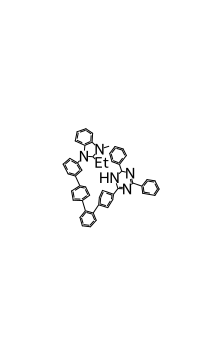 CCC1N(C)c2ccccc2N1c1cccc(-c2ccc(-c3ccccc3-c3ccc(C4=NC(c5ccccc5)=NC(c5ccccc5)N4)cc3)cc2)c1